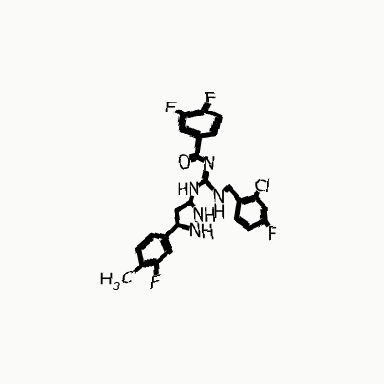 Cc1ccc(C2CC(N/C(=N\C(=O)c3ccc(F)c(F)c3)NCc3ccc(F)cc3Cl)NN2)cc1F